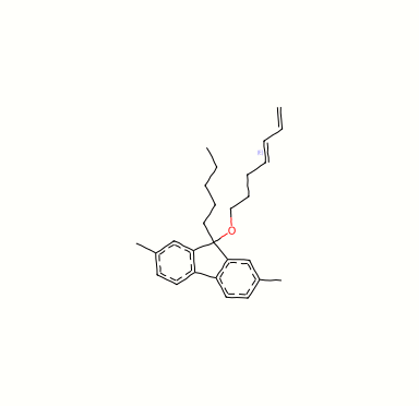 C=C/C=C/CCCOC1(CCCCC)c2cc(C)ccc2-c2ccc(C)cc21